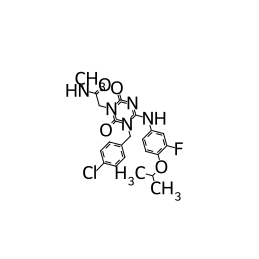 CNC(=O)Cn1c(=O)nc(Nc2ccc(OC(C)C)c(F)c2)n(Cc2ccc(Cl)cc2)c1=O